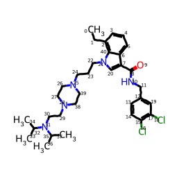 CCc1cccc2c(C(=O)NCc3ccc(Cl)c(Cl)c3)cn(CCCN3CCN(CCN(C(C)C)C(C)C)CC3)c12